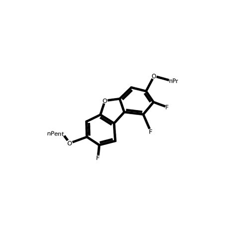 CCCCCOc1cc2oc3cc(OCCC)c(F)c(F)c3c2cc1F